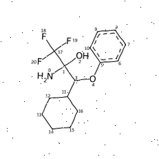 NC(O)(C(Oc1ccccc1)C1CCCCC1)C(F)(F)F